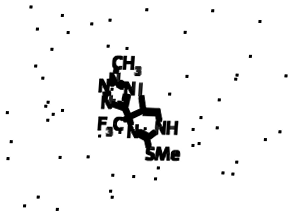 CSC1=NC(c2nnn(C)n2)(C(F)(F)F)C(I)=CN1